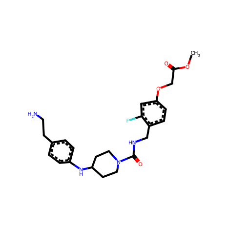 COC(=O)COc1ccc(CNC(=O)N2CCC(Nc3ccc(CCN)cc3)CC2)c(F)c1